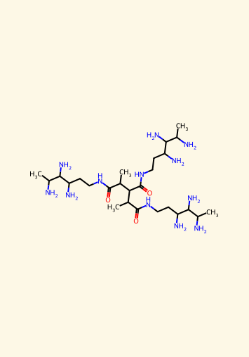 CC(N)C(N)C(N)CCNC(=O)C(C)C(C(=O)NCCC(N)C(N)C(C)N)C(C)C(=O)NCCC(N)C(N)C(C)N